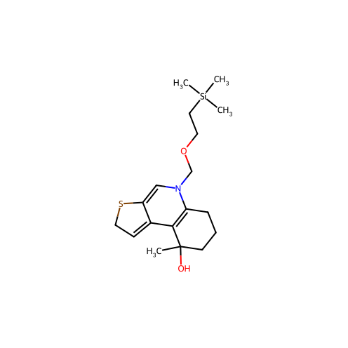 CC1(O)CCCC2=C1C1=CCSC1=CN2COCC[Si](C)(C)C